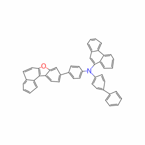 c1ccc(-c2ccc(N(c3ccc(-c4ccc5c(c4)oc4ccc6ccccc6c45)cc3)c3cc4ccccc4c4ccccc34)cc2)cc1